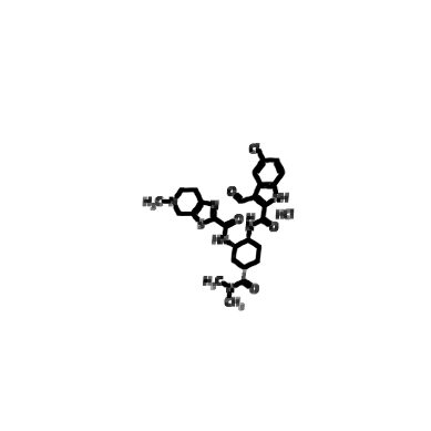 CN1CCc2nc(C(=O)N[C@@H]3C[C@@H](C(=O)N(C)C)CC[C@@H]3NC(=O)c3[nH]c4ccc(Cl)cc4c3C=O)sc2C1.Cl